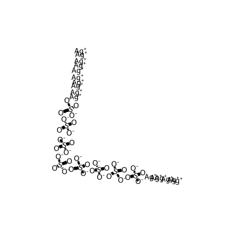 O=S(=O)([O-])[O-].O=S(=O)([O-])[O-].O=S(=O)([O-])[O-].O=S(=O)([O-])[O-].O=S(=O)([O-])[O-].O=S(=O)([O-])[O-].O=S(=O)([O-])[O-].O=S(=O)([O-])[O-].[Ag+].[Ag+].[Ag+].[Ag+].[Ag+].[Ag+].[Ag+].[Ag+].[Ag+].[Ag+].[Ag+].[Ag+].[Ag+].[Ag+].[Ag+].[Ag+]